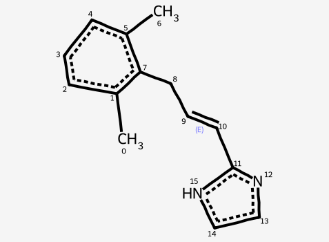 Cc1cccc(C)c1C/C=C/c1ncc[nH]1